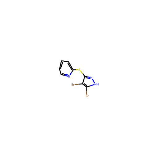 Brc1[nH]nc(Sc2ccccn2)c1Br